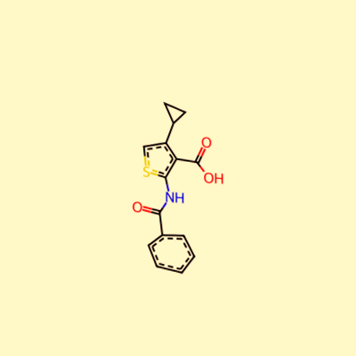 O=C(Nc1scc(C2CC2)c1C(=O)O)c1ccccc1